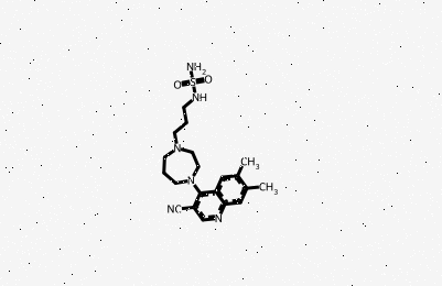 Cc1cc2ncc(C#N)c(N3CCCN(CCCNS(N)(=O)=O)CC3)c2cc1C